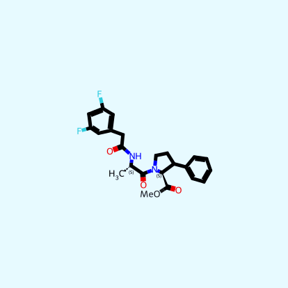 COC(=O)[C@@H]1C(c2ccccc2)CCN1C(=O)[C@H](C)NC(=O)Cc1cc(F)cc(F)c1